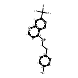 FC(F)(F)c1ccc2c(NCCc3ccc(Cl)cc3)ccnc2c1